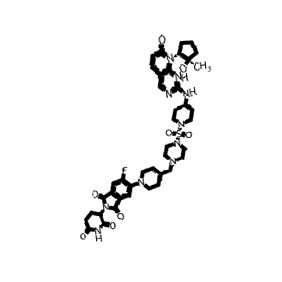 C[C@@]1(O)CCC[C@H]1n1c(=O)ccc2cnc(NC3CCN(S(=O)(=O)N4CCN(CC5CCN(c6cc7c(cc6F)C(=O)N(C6CCC(=O)NC6=O)C7=O)CC5)CC4)CC3)nc21